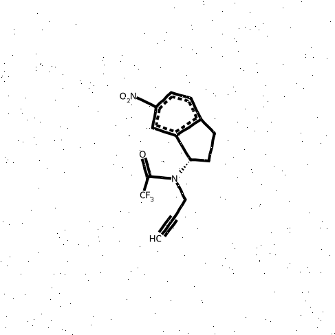 C#CCN(C(=O)C(F)(F)F)[C@H]1CCc2ccc([N+](=O)[O-])cc21